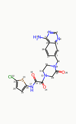 Nc1ncnc2cc(CN3CCN(C(=O)C(=O)Nc4ccc(Cl)s4)CC3=O)ccc12